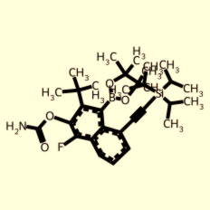 CC(C)[Si](C#Cc1cccc2c(F)c(OC(N)=O)c(C(C)(C)C)c(B3OC(C)(C)C(C)(C)O3)c12)(C(C)C)C(C)C